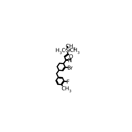 Cc1ccc(CC2C=C(Br)C(c3cc([Si](C)(C)C)on3)CC2)cc1F